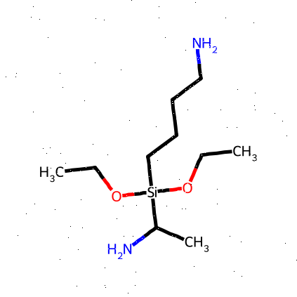 CCO[Si](CCCCN)(OCC)C(C)N